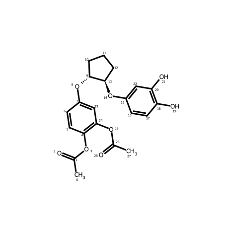 CC(=O)Oc1ccc(O[C@@H]2CCC[C@H]2Oc2ccc(O)c(O)c2)cc1OC(C)=O